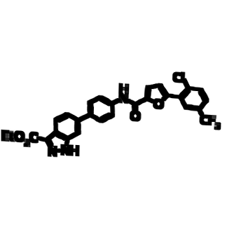 CCOC(=O)c1n[nH]c2cc(-c3ccc(NC(=O)c4ccc(-c5cc(C(F)(F)F)ccc5Cl)o4)cc3)ccc12